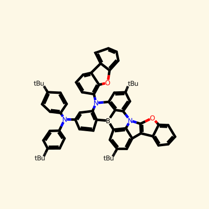 CC(C)(C)c1ccc(N(c2ccc(C(C)(C)C)cc2)c2ccc3c(c2)N(c2cccc4c2oc2ccccc24)c2cc(C(C)(C)C)cc4c2B3c2cc(C(C)(C)C)cc3c5c6ccccc6oc5n-4c23)cc1